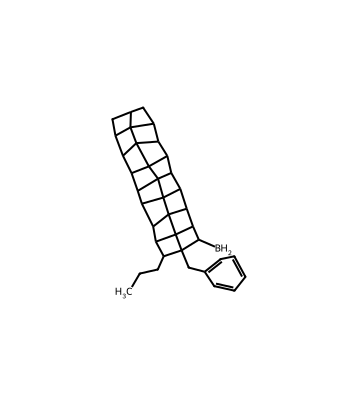 BC1C2C3C4C5C6C7C8CC9CC%10C%11C%12C%13C%14C%15C%16C(CCC)C1(Cc1ccccc1)C2%16C3%15C4%14C5%13C6%12C7%11C98%10